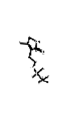 CC1=C(CCO[Si](C)(C)C(C)(C)C)C(=O)NC1